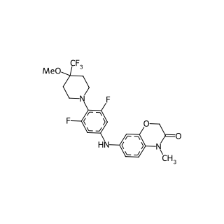 COC1(C(F)(F)F)CCN(c2c(F)cc(Nc3ccc4c(c3)OCC(=O)N4C)cc2F)CC1